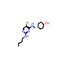 CCCCNc1ncc(Br)c(NC[C@H]2CC[C@H](O)CC2)n1